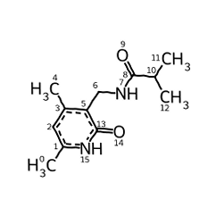 Cc1cc(C)c(CNC(=O)C(C)C)c(=O)[nH]1